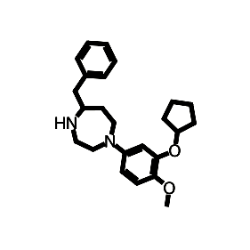 COc1ccc(N2CCNC(Cc3ccccc3)CC2)cc1OC1CCCC1